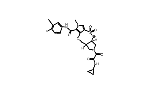 Cc1cc(NC(=O)c2c3c(cn2C)S(=O)(=O)N[C@H]2CN(C(=O)C(=O)NC4CC4)C[C@@H]2CO3)ccc1F